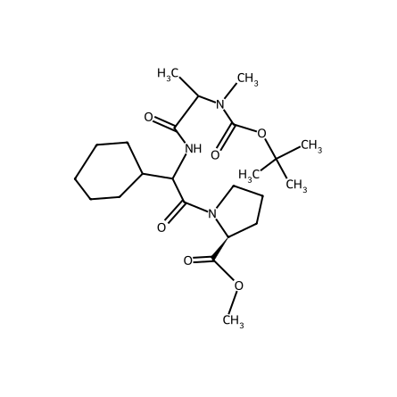 COC(=O)[C@@H]1CCCN1C(=O)C(NC(=O)C(C)N(C)C(=O)OC(C)(C)C)C1CCCCC1